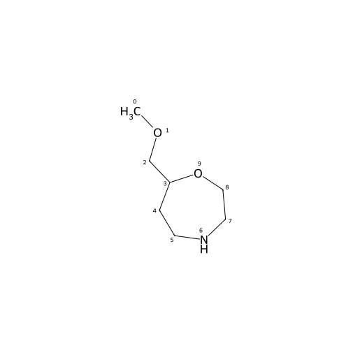 COCC1CCNCCO1